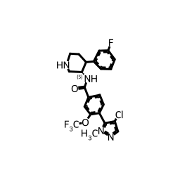 Cn1ncc(Cl)c1-c1ccc(C(=O)N[C@@H]2CNCCC2c2cccc(F)c2)cc1OC(F)(F)F